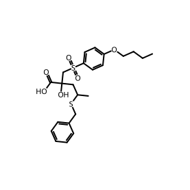 CCCCOc1ccc(S(=O)(=O)CC(O)(CC(C)SCc2ccccc2)C(=O)O)cc1